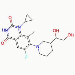 Cc1c(N2CCCC(C(O)CO)C2)c(F)cc2c(=O)[nH]c(=O)n(C3CC3)c12